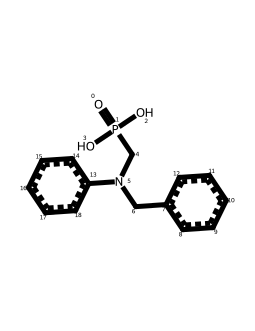 O=P(O)(O)CN(Cc1ccccc1)c1ccccc1